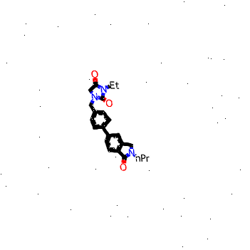 CCCN1Cc2cc(-c3ccc(CN4CC(=O)N(CC)C4=O)cc3)ccc2C1=O